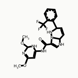 COC1=NC(OC)NC(NC(=O)C2=CNC3C=CC(c4ccccc4C(F)(F)F)NN23)=C1